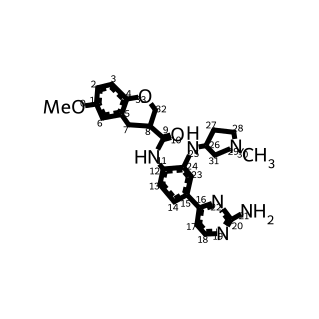 COc1ccc2c(c1)CC(C(=O)Nc1ccc(-c3ccnc(N)n3)cc1NC1CCN(C)C1)CO2